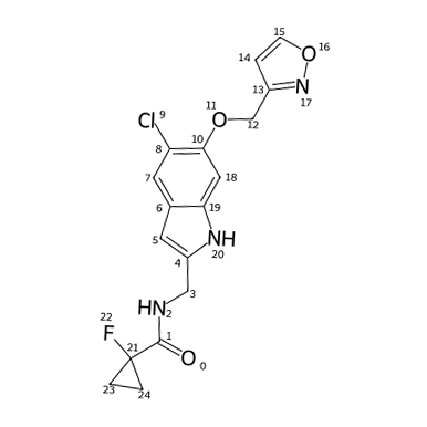 O=C(NCc1cc2cc(Cl)c(OCc3ccon3)cc2[nH]1)C1(F)CC1